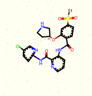 CCS(=O)(=O)c1ccc(C(=O)Nc2cccnc2C(=O)Nc2ccc(Cl)cn2)c(O[C@H]2CCNC2)c1